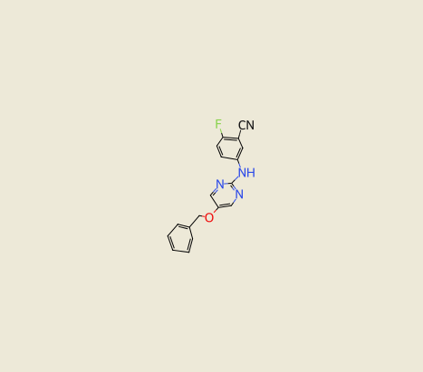 N#Cc1cc(Nc2ncc(OCc3ccccc3)cn2)ccc1F